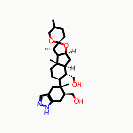 CC1CC[C@@]2(OC1)O[C@H]1C[C@H]3[C@H](CO)[C@@H]([C@@]4(C)Cc5cn[nH]c5C[C@@H]4CO)CC[C@]3(C)C1[C@@H]2C